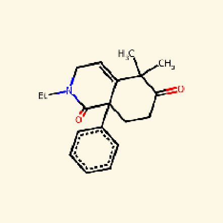 CCN1CC=C2C(C)(C)C(=O)CCC2(c2ccccc2)C1=O